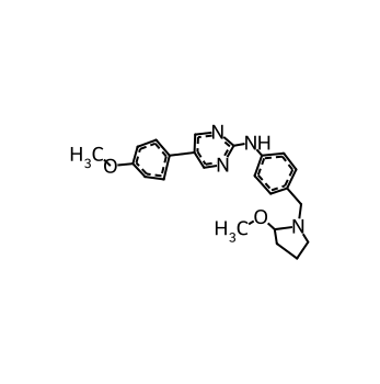 COc1ccc(-c2cnc(Nc3ccc(CN4CCCC4OC)cc3)nc2)cc1